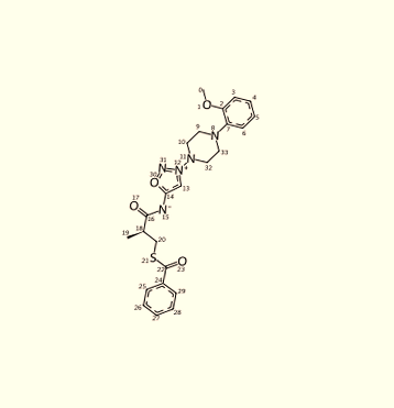 COc1ccccc1N1CCN([n+]2cc([N-]C(=O)[C@H](C)CSC(=O)c3ccccc3)on2)CC1